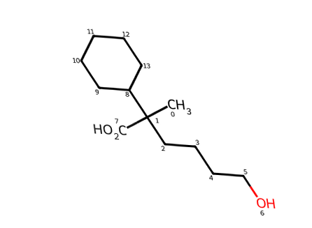 CC(CCCCO)(C(=O)O)C1CCCCC1